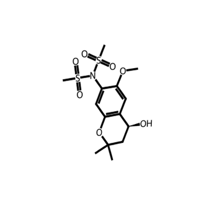 COc1cc2c(cc1N(S(C)(=O)=O)S(C)(=O)=O)OC(C)(C)C[C@@H]2O